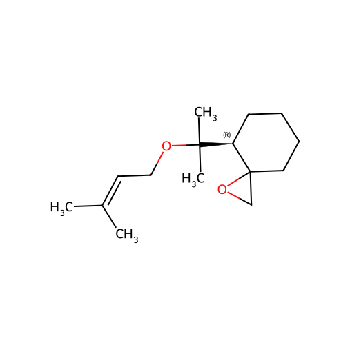 CC(C)=CCOC(C)(C)[C@H]1CCCCC12CO2